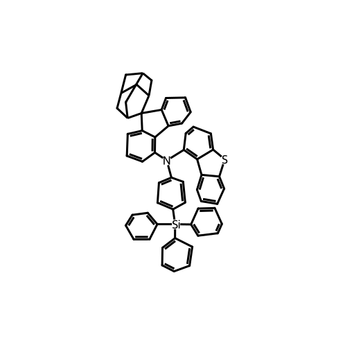 c1ccc([Si](c2ccccc2)(c2ccccc2)c2ccc(N(c3cccc4c3-c3ccccc3C43C4CC5CC(C4)CC3C5)c3cccc4sc5ccccc5c34)cc2)cc1